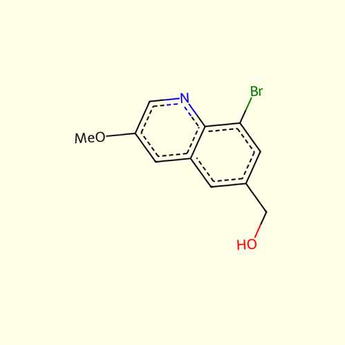 COc1cnc2c(Br)cc(CO)cc2c1